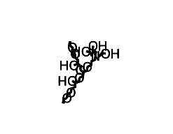 C=COCOCCC(O)COCC(COCCC[N+](CCO)(CCO)CCO)OCC(O)CCOCOC=C